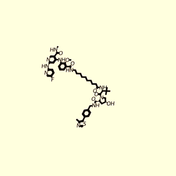 CNC(=O)c1cnc(Nc2ccc(F)cn2)cc1Nc1cccc(C(=O)NCCCCCCCCCC(=O)N[C@H](C(=O)N2C[C@H](O)C[C@H]2C(=O)NCc2ccc(-c3scnc3C)cc2)C(C)(C)C)c1OC